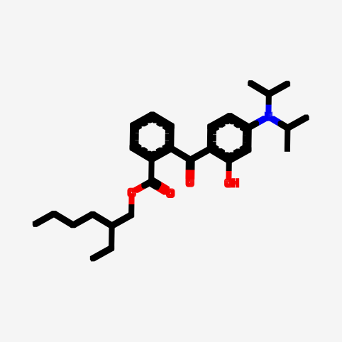 CCCCC(CC)COC(=O)c1ccccc1C(=O)c1ccc(N(C(C)C)C(C)C)cc1O